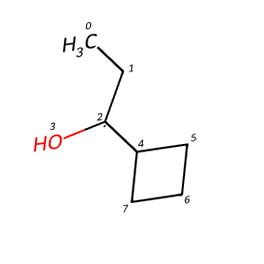 CC[C](O)C1CCC1